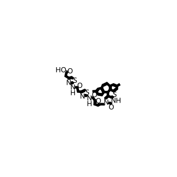 Cc1ccc2c(c1)C=Cc1cc(C)ccc1C2c1cn(Cc2ccc(C(=O)Nc3nc(CC(=O)Nc4nc(CC(=O)O)cs4)cs3)o2)c(=O)[nH]c1=S